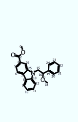 COC(=O)c1ccc2c3ccccc3n(CC(OC)c3ccccc3)c2c1